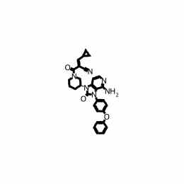 N#C/C(=C\C1CC1)C(=O)N1CCC[C@@H](n2c(=O)n(-c3ccc(Oc4ccccc4)cc3)c3c(N)nccc32)C1